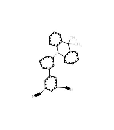 CC1(C)c2ccccc2N(c2cccc(-c3cc(C#N)cc(C#N)c3)c2)c2ccccc21